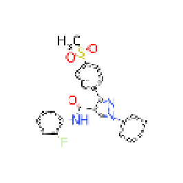 CS(=O)(=O)c1ccc(-c2nn(-c3ccccc3)cc2C(=O)Nc2ccccc2F)cc1